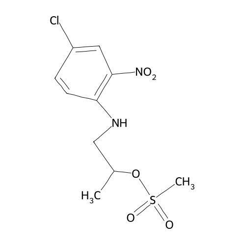 CC(CNc1ccc(Cl)cc1[N+](=O)[O-])OS(C)(=O)=O